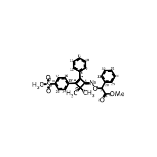 COC(=O)C(ON=C1C(c2ccccc2)=C(c2ccc(S(C)(=O)=O)cc2)C1(C)C)c1ccccc1